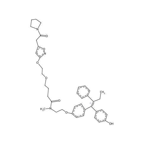 CC/C(=C(\c1ccc(O)cc1)c1ccc(OCCN(C)C(=O)CCCOCCOc2cc(CC(=O)N3CCCC3)on2)cc1)c1ccccc1